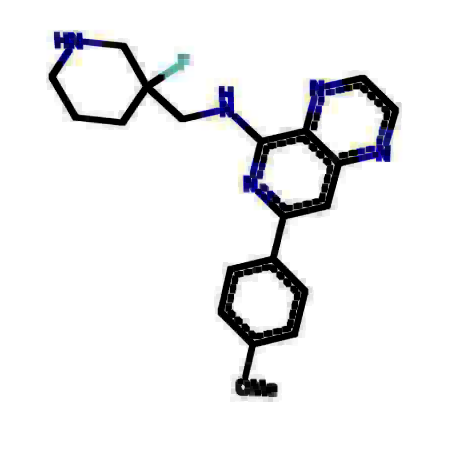 COc1ccc(-c2cc3nccnc3c(NCC3(F)CCCNC3)n2)cc1